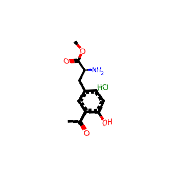 COC(=O)[C@@H](N)Cc1ccc(O)c(C(C)=O)c1.Cl